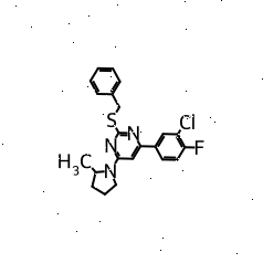 CC1CCCN1c1cc(-c2ccc(F)c(Cl)c2)nc(SCc2ccccc2)n1